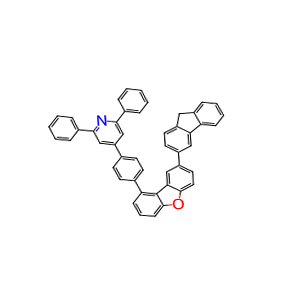 c1ccc(-c2cc(-c3ccc(-c4cccc5oc6ccc(-c7ccc8c(c7)-c7ccccc7C8)cc6c45)cc3)cc(-c3ccccc3)n2)cc1